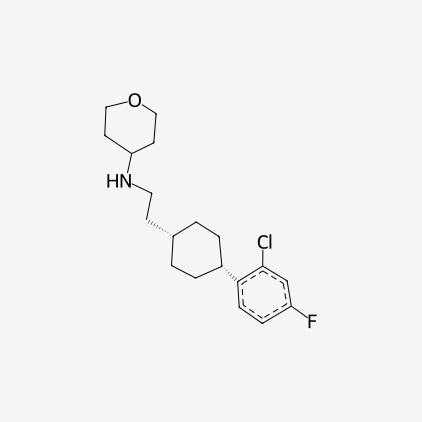 Fc1ccc([C@H]2CC[C@@H](CCNC3CCOCC3)CC2)c(Cl)c1